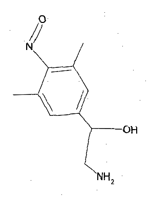 Cc1cc(C(O)CN)cc(C)c1N=O